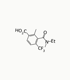 CCN(C)C(=O)c1c(C(F)(F)F)ccc(C(=O)O)c1C